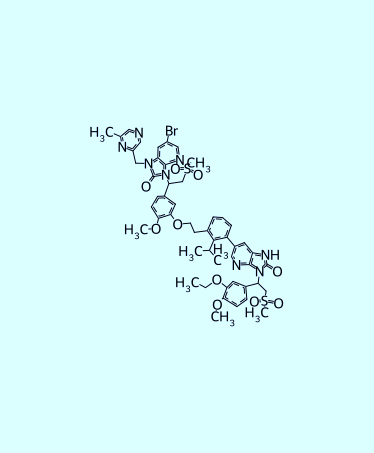 CCOc1cc(C(CS(C)(=O)=O)n2c(=O)[nH]c3cc(-c4cccc(CCOc5cc(C(CS(C)(=O)=O)n6c(=O)n(Cc7cncc(C)n7)c7cc(Br)cnc76)ccc5OC)c4C(C)C)cnc32)ccc1OC